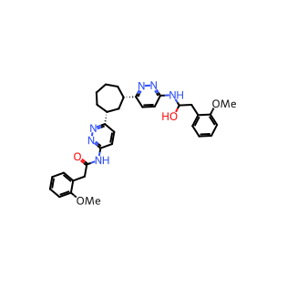 COc1ccccc1CC(=O)Nc1ccc([C@@H]2CCCC[C@H](c3ccc(NC(O)Cc4ccccc4OC)nn3)C2)nn1